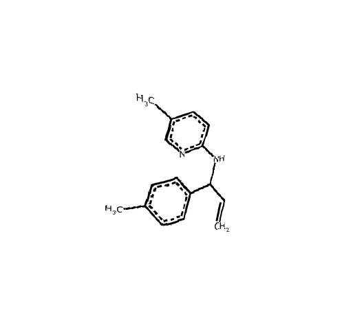 C=CC(Nc1ccc(C)cn1)c1ccc(C)cc1